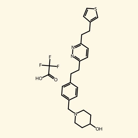 O=C(O)C(F)(F)F.OC1CCN(Cc2ccc(CCc3ccc(CCc4ccsc4)nn3)cc2)CC1